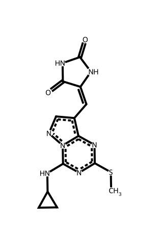 CSc1nc(NC2CC2)n2ncc(/C=C3/NC(=O)NC3=O)c2n1